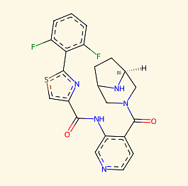 O=C(Nc1cnccc1C(=O)N1CC2CC[C@@H](C1)N2)c1csc(-c2c(F)cccc2F)n1